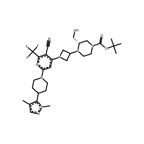 Cc1cnn(C)c1C1CCN(c2cc(N3CC(N4CCN(C(=O)OC(C)(C)C)C[C@H]4CO)C3)c(C#N)c(C(F)(F)F)n2)CC1